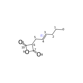 CCC/C=C/CC1C(=O)OC1=O